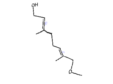 COC/C(C)=C/CC/C(C)=C/CO